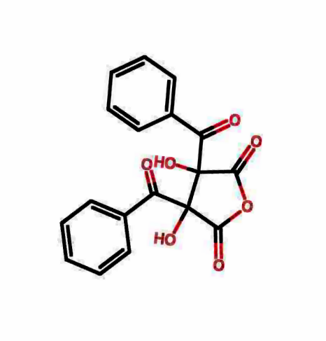 O=C1OC(=O)C(O)(C(=O)c2ccccc2)C1(O)C(=O)c1ccccc1